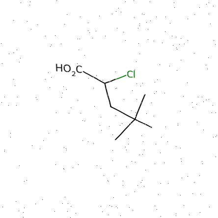 CC(C)(C)CC(Cl)C(=O)O